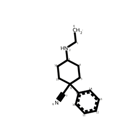 [CH2]CNC1CCC(C#N)(c2ccccc2)CC1